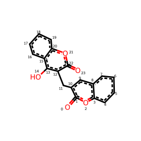 O=c1oc2ccccc2cc1Cc1c(O)c2ccccc2oc1=O